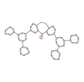 O=C1c2cc(-c3cc(-c4ccccc4)cc(-c4ccccc4)c3)ccc2CCc2ccc(-c3cc(-c4ccccc4)cc(-c4ccccc4)c3)cc21